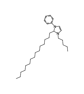 CCCCCCCCCCCCCCCC1N(CCCCC)C=CN1c1ccccc1